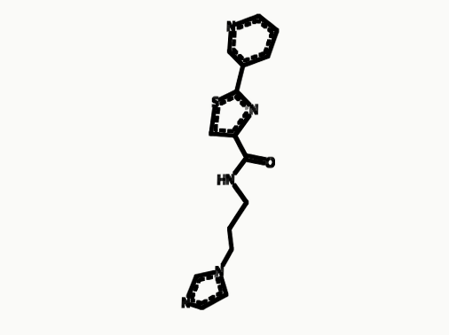 O=C(NCCCn1ccnc1)c1csc(-c2cccnc2)n1